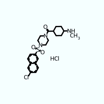 CNC1CCC(C(=O)N2CCN(S(=O)(=O)c3ccc4cc(Cl)ccc4c3)CC2)CC1.Cl